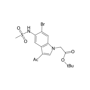 CC(=O)c1cn(CC(=O)OC(C)(C)C)c2cc(Br)c(NS(C)(=O)=O)cc12